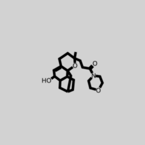 CC1(CCC(=O)N2CCOCC2)CCC2=CC(O)C3CC4CCC3C2(C4)O1